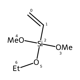 C=C[Si](OC)(OC)OCC